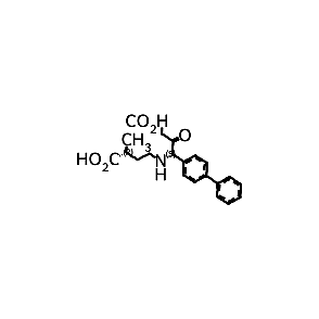 C[C@H](CCN[C@H](C(=O)CC(=O)O)c1ccc(-c2ccccc2)cc1)C(=O)O